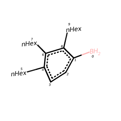 Bc1ccc(CCCCCC)c(CCCCCC)c1CCCCCC